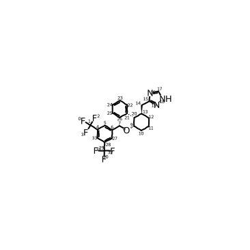 FC(F)(F)c1cc(CO[C@H]2CCC[C@H](Cc3nc[nH]n3)[C@H]2c2ccccc2)cc(C(F)(F)F)c1